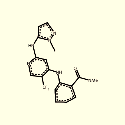 CNC(=O)c1ccccc1Nc1cc(Nc2ccnn2C)ncc1C(F)(F)F